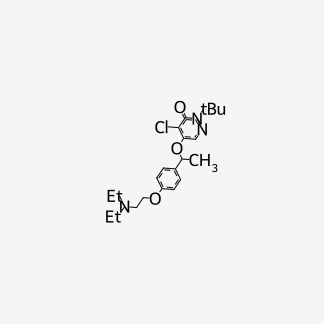 CCN(CC)CCOc1ccc(C(C)Oc2cnn(C(C)(C)C)c(=O)c2Cl)cc1